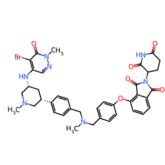 CN(Cc1ccc(Oc2cccc3c2C(=O)N(C2CCC(=O)NC2=O)C3=O)cc1)Cc1ccc([C@H]2C[C@@H](Nc3cnn(C)c(=O)c3Br)CN(C)C2)cc1